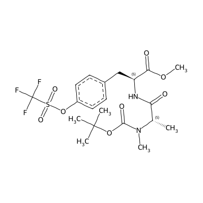 COC(=O)[C@H](Cc1ccc(OS(=O)(=O)C(F)(F)F)cc1)NC(=O)[C@H](C)N(C)C(=O)OC(C)(C)C